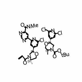 C=CC(=O)N1C[C@@H](c2cc(Cl)nc(-c3cc(C(=O)NC)ncn3)c2)OC[C@@H]1C.C[C@H]1CO[C@H](c2cc(Cl)nc(Cl)c2)CN1C(=O)OC(C)(C)C